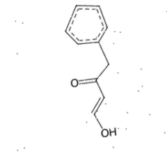 O=C(C=CO)Cc1ccccc1